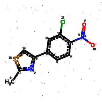 Cc1nc(-c2ccc([N+](=O)[O-])c(Cl)c2)cs1